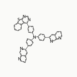 c1cnc2cnc(-c3ccc(N(c4ccc(-c5cc6cccnc6cn5)cc4)c4ccc(-c5ncnc6sc7ccccc7c56)cc4)cc3)cc2c1